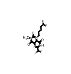 Cn1c(=O)c2nc(C(F)F)[nH]c(=O)c2n(CCCCC(F)F)c1=O